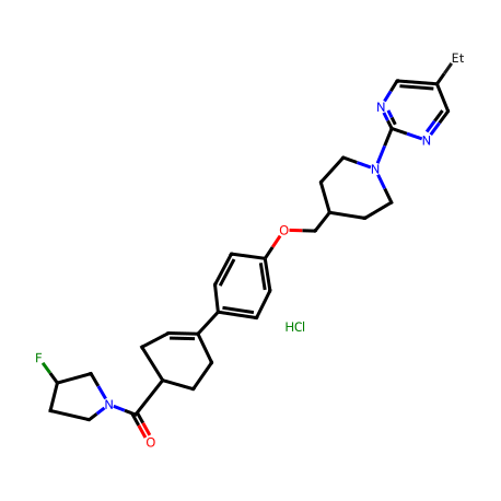 CCc1cnc(N2CCC(COc3ccc(C4=CCC(C(=O)N5CCC(F)C5)CC4)cc3)CC2)nc1.Cl